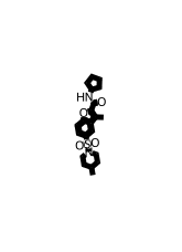 Cc1c(C(=O)NC2CCCC2)oc2ccc(S(=O)(=O)N3CCC(C)CC3)cc12